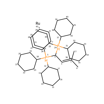 CC(C)=CC([PH](C1CCCCC1)(C1CCCCC1)C1CCCCC1)[PH](C1CCCCC1)(C1CCCCC1)C1CCCCC1.[Ru]